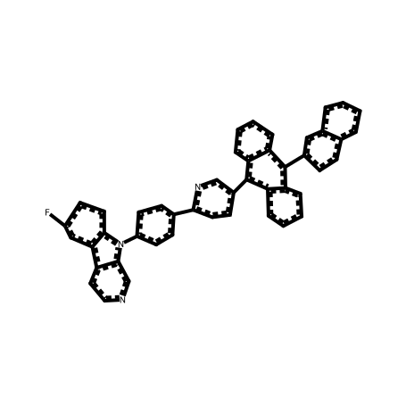 Fc1ccc2c(c1)c1ccncc1n2-c1ccc(-c2ccc(-c3c4ccccc4c(-c4ccc5ccccc5c4)c4ccccc34)cn2)cc1